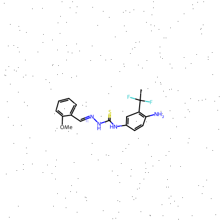 COc1ccccc1/C=N/NC(=S)Nc1ccc(N)c(C(C)(F)F)c1